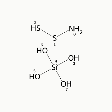 NSS.O[Si](O)(O)O